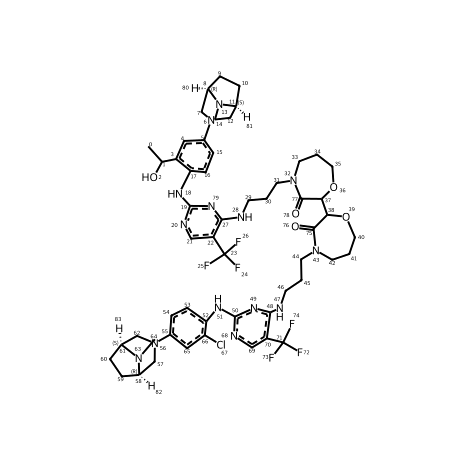 CC(O)c1cc(N2C[C@H]3CC[C@@H](C2)N3C)ccc1Nc1ncc(C(F)(F)F)c(NCCCN2CCCOC(C3OCCCN(CCCNc4nc(Nc5ccc(N6C[C@H]7CC[C@@H](C6)N7C)cc5Cl)ncc4C(F)(F)F)C3=O)C2=O)n1